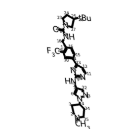 CN1CCC(n2cc(Nc3nccc(-c4ccc(CNC(=O)N5CCC(C(C)(C)C)C5)c(C(F)(F)F)c4)n3)cn2)CC1